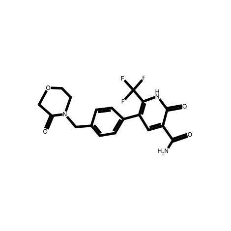 NC(=O)c1cc(-c2ccc(CN3CCOCC3=O)cc2)c(C(F)(F)F)[nH]c1=O